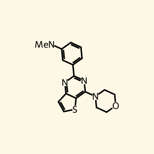 CNc1cccc(-c2nc(N3CCOCC3)c3sccc3n2)c1